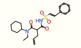 C=CCC(C(=O)NS(=O)(=O)C=Cc1ccccc1)C(=O)N(CC)C1CCCCC1